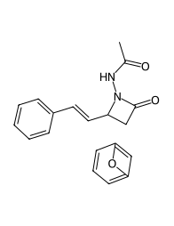 CC(=O)NN1C(=O)CC1C=Cc1ccccc1.c1cc2cc(c1)O2